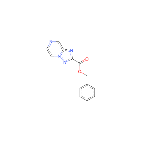 O=C(OCc1ccccc1)c1nc2cnccn2n1